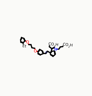 CCc1ccccc1OCCCCOc1ccc(/C=C/c2cccc3c2c(CC(=O)O)cn3CCCC(=O)O)cc1